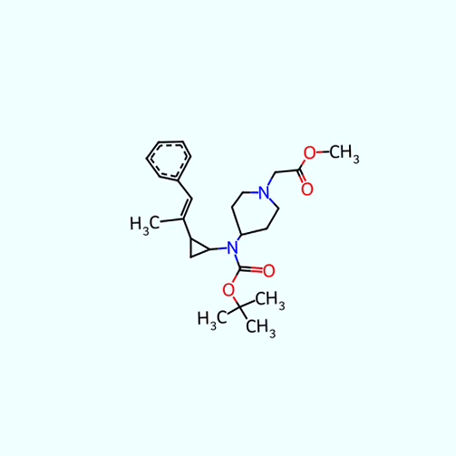 COC(=O)CN1CCC(N(C(=O)OC(C)(C)C)C2CC2C(C)=Cc2ccccc2)CC1